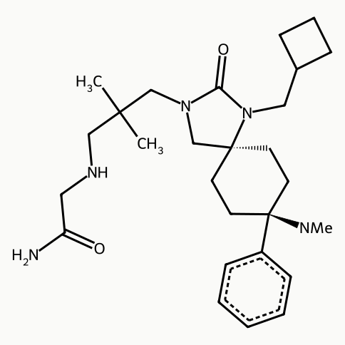 CN[C@]1(c2ccccc2)CC[C@]2(CC1)CN(CC(C)(C)CNCC(N)=O)C(=O)N2CC1CCC1